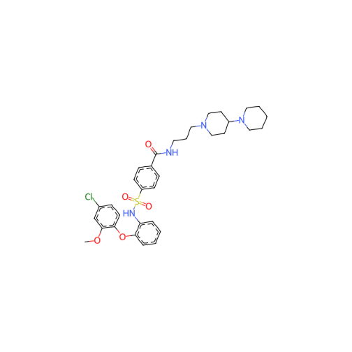 COc1cc(Cl)ccc1Oc1ccccc1NS(=O)(=O)c1ccc(C(=O)NCCCN2CCC(N3CCCCC3)CC2)cc1